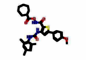 COc1ccc(-c2cc(NC(=O)Nc3c(C)cc(C)cc3C)c(C(=O)NOC(=O)C3CCCCCC3)s2)cc1